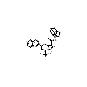 O=C(NC1C2CC3CC(C2)CC1C3)c1cnn2c1NC(c1ccc3ccccc3c1)CC2C(F)(F)F